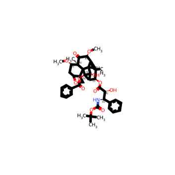 CO[C@H]1C(=O)[C@]2(C)[C@@H](OC)CC3OCC3C23C2(C)C1=C(C)[C@@H](OC(=O)[C@H](O)[C@@H](NC(=O)OC(C)(C)C)c1ccccc1)C1[C@@]2(O)[C@]13OC(=O)c1ccccc1